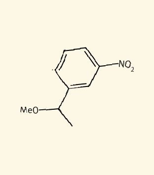 COC(C)c1[c]ccc([N+](=O)[O-])c1